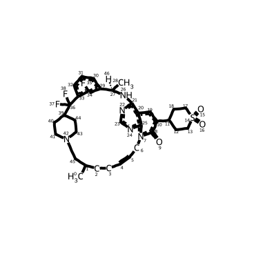 CC1CC/C=C\Cn2c(=O)c(C3CCS(=O)(=O)CC3)cc3c(ncnc32)N[C@H](C)c2cccc(c2F)C(F)(F)C2CCN(CC2)C1